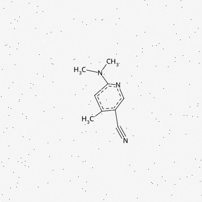 Cc1cc(N(C)C)ncc1C#N